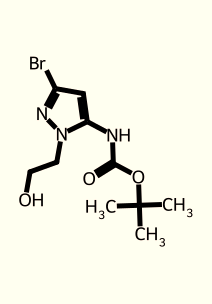 CC(C)(C)OC(=O)Nc1cc(Br)nn1CCO